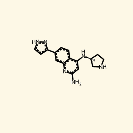 Nc1cc(N[C@H]2CCNC2)c2ccc(-c3cc[nH]n3)cc2n1